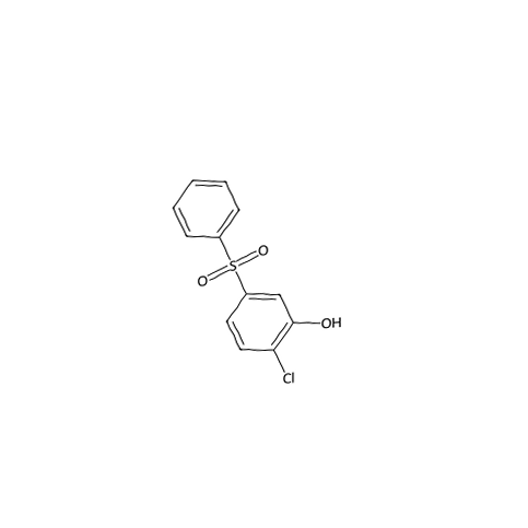 O=S(=O)(c1ccccc1)c1ccc(Cl)c(O)c1